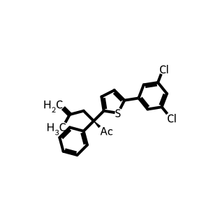 C=C(C)C[C@@](C(C)=O)(c1ccccc1)c1ccc(-c2cc(Cl)cc(Cl)c2)s1